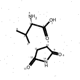 CC(C)[C@H](N)C(=O)O.O=C1CCC(=O)N1